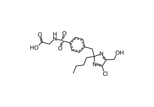 CCCCC1(Cc2ccc(S(=O)(=O)NCC(=O)O)cc2)N=C(Cl)C(CO)=N1